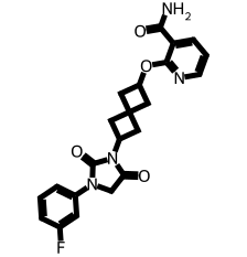 NC(=O)c1cccnc1OC1CC2(C1)CC(N1C(=O)CN(c3cccc(F)c3)C1=O)C2